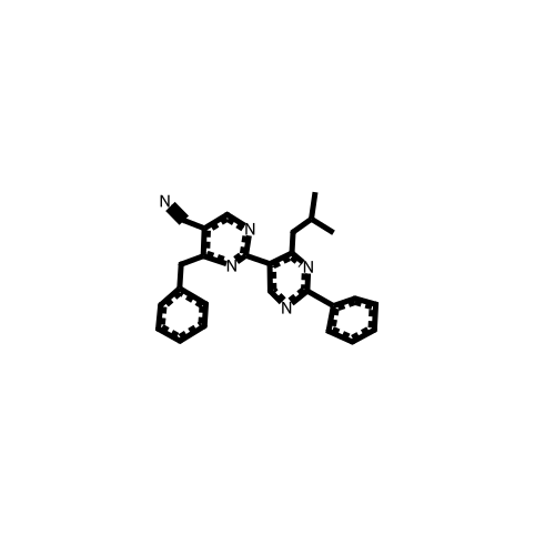 CC(C)Cc1nc(-c2ccccc2)ncc1-c1ncc(C#N)c(Cc2ccccc2)n1